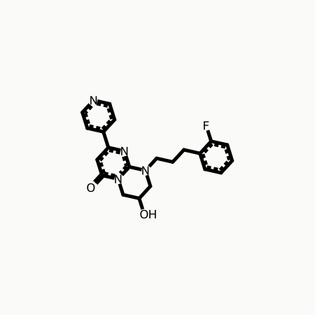 O=c1cc(-c2ccncc2)nc2n1CC(O)CN2CCCc1ccccc1F